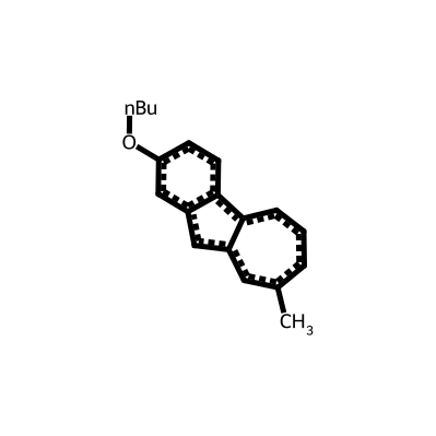 CCCCOc1ccc2c3cccc(C)cc-3cc2c1